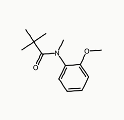 COc1ccccc1N(C)C(=O)C(C)(C)C